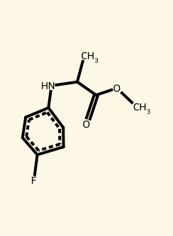 COC(=O)C(C)Nc1ccc(F)cc1